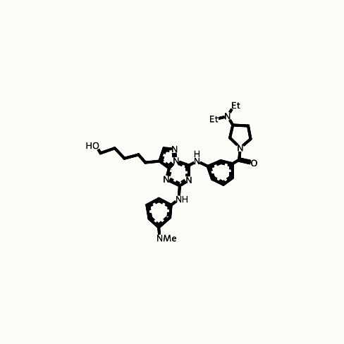 CCN(CC)C1CCN(C(=O)c2cccc(Nc3nc(Nc4cccc(NC)c4)nc4c(CCCCCO)cnn34)c2)C1